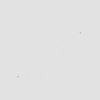 CC[C@H](Nc1cc(C(F)(F)F)c(-c2sc(C(=O)N[C@@H]3CCC[C@H]3O)nc2C(=O)N2C3CCC2CC3)cn1)C(F)(F)F